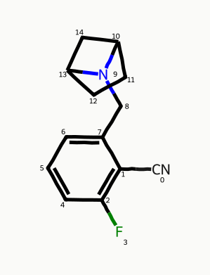 N#Cc1c(F)cccc1CN1C2CCC1C2